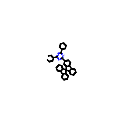 C/C=C\C(=C/C)c1nc(-c2ccccc2)nc(-c2ccc3c(c2)C2(c4ccccc4-c4ccccc42)c2ccccc2-3)n1